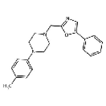 Cc1ccc(N2CCN(Cc3ncc(-c4ccccc4)o3)CC2)cc1